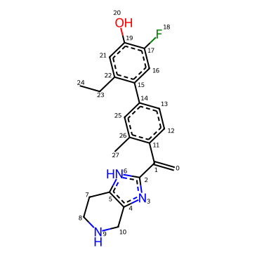 C=C(c1nc2c([nH]1)CCNC2)c1ccc(-c2cc(F)c(O)cc2CC)cc1C